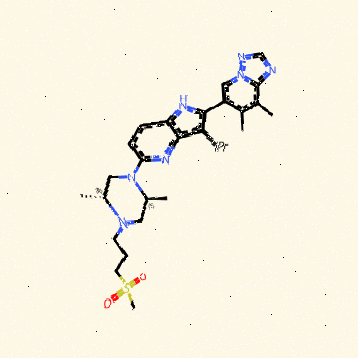 Cc1c(-c2[nH]c3ccc(N4C[C@@H](C)N(CCCS(C)(=O)=O)C[C@@H]4C)nc3c2C(C)C)cn2ncnc2c1C